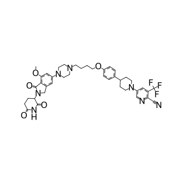 COc1cc(N2CCN(CCCCOc3ccc(C4CCN(c5cnc(C#N)c(C(F)(F)F)c5)CC4)cc3)CC2)cc2c1C(=O)N(C1CCC(=O)NC1=O)C2